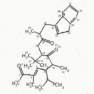 CC(=O)/C(C)=C/C(C(C)C)C(C)C(=O)C(CC(=O)C(C)CC1=CCc2ccccc21)C(C)(C)C